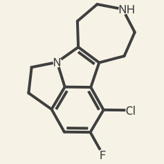 Fc1cc2c3c(c1Cl)c1c(n3CC2)CCNCC1